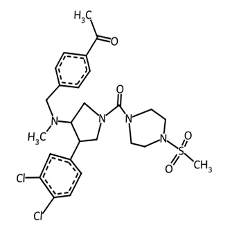 CC(=O)c1ccc(CN(C)C2CN(C(=O)N3CCN(S(C)(=O)=O)CC3)CC2c2ccc(Cl)c(Cl)c2)cc1